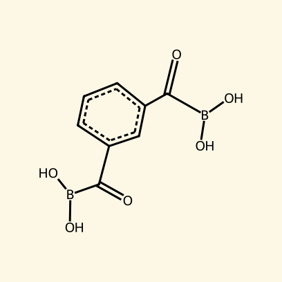 O=C(B(O)O)c1cccc(C(=O)B(O)O)c1